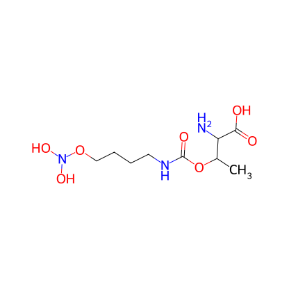 CC(OC(=O)NCCCCON(O)O)C(N)C(=O)O